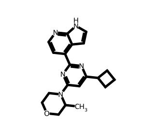 CC1COCCN1c1cc(C2CCC2)nc(-c2ccnc3[nH]ccc23)n1